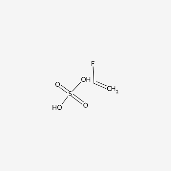 C=CF.O=S(=O)(O)O